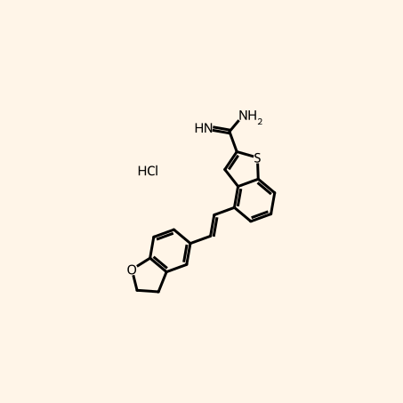 Cl.N=C(N)c1cc2c(C=Cc3ccc4c(c3)CCO4)cccc2s1